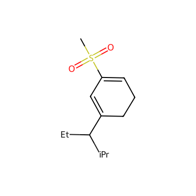 CCC(C1=CC(S(C)(=O)=O)=CCC1)C(C)C